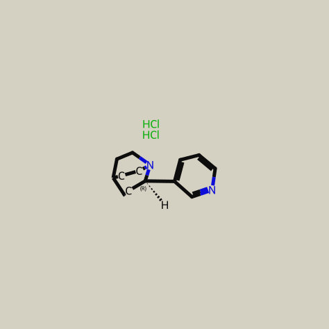 Cl.Cl.c1cncc([C@H]2CCC3CCN2CC3)c1